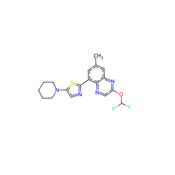 Cc1cc(-c2ncc(N3CCCCC3)s2)c2ncc(OC(F)F)nc2c1